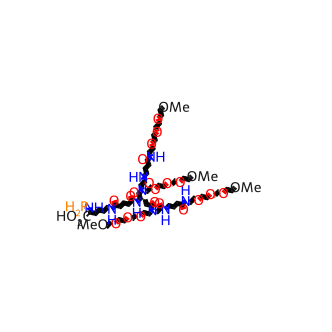 COCCOCCOCCOCCNC(=O)CCCNC(=O)CN(CCOCCOCCOCCOC)C(=O)CC[C@H](NC(=O)CCCC(=O)NCCCC[C@H](NP)C(=O)O)C(=O)N(CCOCCOCCOCCOC)CC(=O)NCCCC(=O)NCCOCCOCCOCCOC